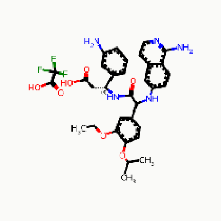 CCOc1cc(C(Nc2ccc3c(N)nccc3c2)C(=O)N[C@H](CC(=O)O)c2cccc(N)c2)ccc1OC(C)C.O=C(O)C(F)(F)F